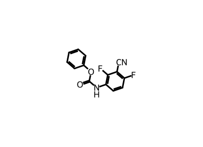 N#Cc1c(F)ccc(NC(=O)Oc2ccccc2)c1F